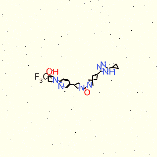 O=C(N1CC(c2ccc(N3CC[C@](O)(C(F)(F)F)C3)nc2)C1)N1CC2(CC(c3nnc(C4CC4)[nH]3)C2)C1